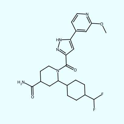 COc1cc(-c2cc(C(=O)N3CCC(C(N)=O)CC3C3CCC(C(F)F)CC3)n[nH]2)ccn1